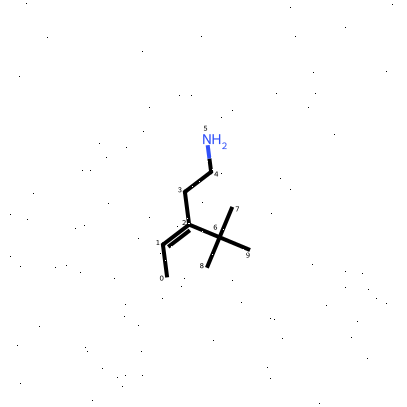 C/C=C(/CCN)C(C)(C)C